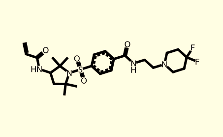 C=CC(=O)NC1CC(C)(C)N(S(=O)(=O)c2ccc(C(=O)NCCN3CCC(F)(F)CC3)cc2)C1(C)C